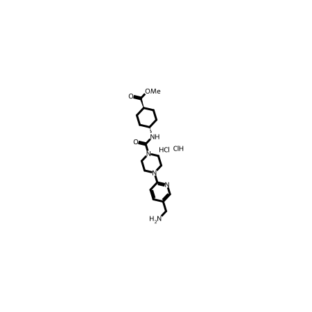 COC(=O)[C@H]1CC[C@H](NC(=O)N2CCN(c3ccc(CN)cn3)CC2)CC1.Cl.Cl